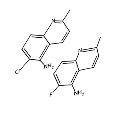 Cc1ccc2c(N)c(Cl)ccc2n1.Cc1ccc2c(N)c(F)ccc2n1